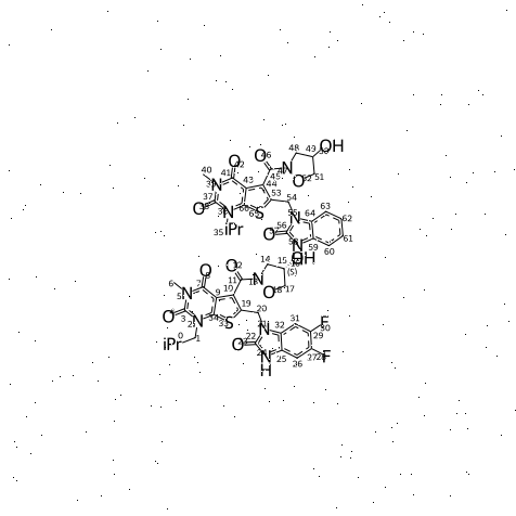 CC(C)Cn1c(=O)n(C)c(=O)c2c(C(=O)N3C[C@H](O)CO3)c(Cn3c(=O)[nH]c4cc(F)c(F)cc43)sc21.CC(C)n1c(=O)n(C)c(=O)c2c(C(=O)N3CC(O)CO3)c(Cn3c(=O)[nH]c4ccccc43)sc21